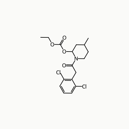 CCOC(=O)OC1CC(C)CCN1C(=O)Cc1c(Cl)cccc1Cl